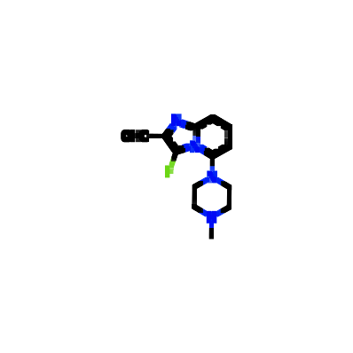 CN1CCN(c2cccc3nc(C=O)c(F)n23)CC1